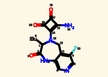 CCC(C)C1C(=O)Nc2cncc(F)c2CN1c1c(N)c(=O)c1=O